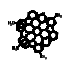 Cc1ccc2c(c1)c1ccccc1n2-c1c(-c2ccncc2)c(-n2c3ccccc3c3cc(C)ccc32)c(-n2c3ccccc3c3cc(C)ccc32)c(-n2c3ccccc3c3cc(C)ccc32)c1-c1ccccn1